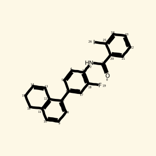 O=C(Nc1ccc(-c2cccc3c2C=CCC3)cc1F)c1ccccc1I